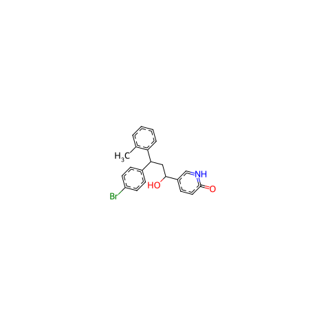 Cc1ccccc1C(CC(O)c1ccc(=O)[nH]c1)c1ccc(Br)cc1